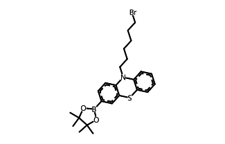 CC1(C)OB(c2ccc3c(c2)Sc2ccccc2N3CCCCCCBr)OC1(C)C